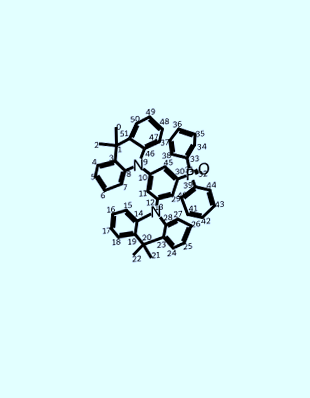 CC1(C)c2ccccc2N(c2cc(N3c4ccccc4C(C)(C)c4ccccc43)cc(P(=O)(c3ccccc3)c3ccccc3)c2)c2ccccc21